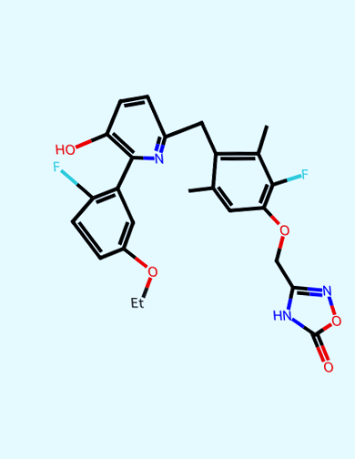 CCOc1ccc(F)c(-c2nc(Cc3c(C)cc(OCc4noc(=O)[nH]4)c(F)c3C)ccc2O)c1